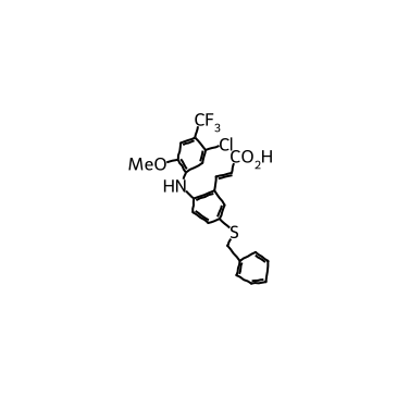 COc1cc(C(F)(F)F)c(Cl)cc1Nc1ccc(SCc2ccccc2)cc1C=CC(=O)O